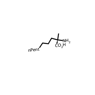 CCCCCCCC[C@](C)(N)C(=O)O